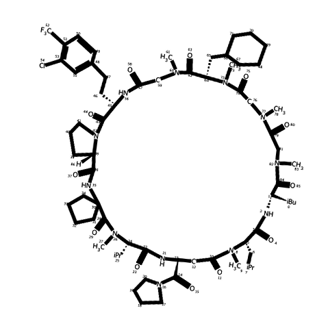 CC[C@H](C)[C@@H]1NC(=O)[C@H](CC(C)C)N(C)C(=O)C[C@@H](C(=O)N2CCCC2)NC(=O)[C@H](C(C)C)N(C)C(=O)C2(CCCC2)NC(=O)[C@@H]2CCCN2C(=O)[C@H](CCc2ccc(C(F)(F)F)c(Cl)c2)NC(=O)CN(C)C(=O)[C@H](CC2CCCCC2)N(C)C(=O)CN(C)C(=O)CN(C)C1=O